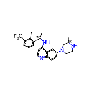 Cc1c([C@@H](C)Nc2ccnc3ccc(N4CCN[C@H](C)C4)cc23)cccc1C(F)(F)F